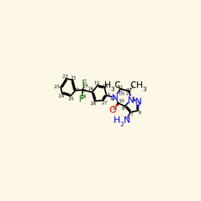 C[C@H]1[C@H](C)n2ncc(N)c2C(=O)N1c1ccc(C(F)(F)c2ccccc2)cc1